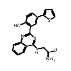 CC[C@@H](N)CNc1nc(-c2cc(-c3cccs3)ccc2O)nc2ccccc12